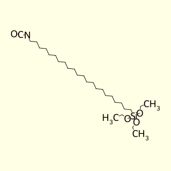 CCO[Si](CCCCCCCCCCCCCCCCCCCCCCN=C=O)(OCC)OCC